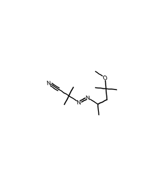 COC(C)(C)CC(C)N=NC(C)(C)C#N